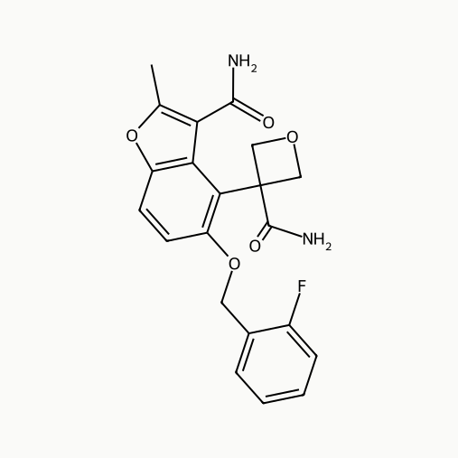 Cc1oc2ccc(OCc3ccccc3F)c(C3(C(N)=O)COC3)c2c1C(N)=O